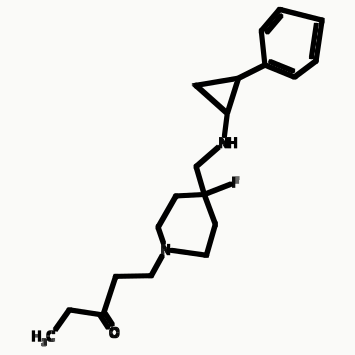 CCC(=O)CCN1CCC(F)(CNC2CC2c2ccccc2)CC1